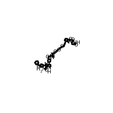 NC(=O)c1c(-c2ccc(Oc3ccccc3)cc2)nn2c1NCC[C@H]2C1CCN(C(=O)c2cn(CCOCCOCCOCC#Cc3cccc4c3CN(C3CCC(=O)NC3=O)C4=O)nn2)CC1